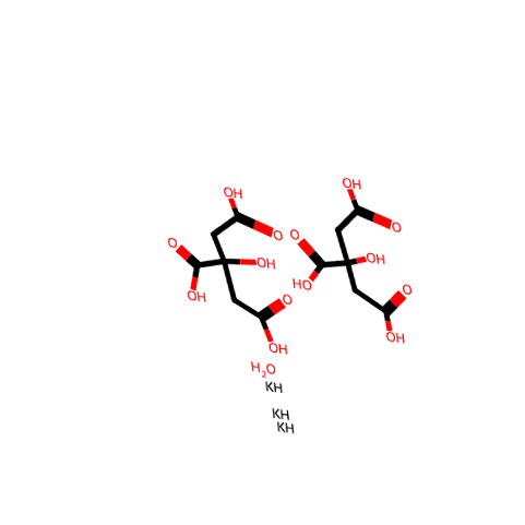 O.O=C(O)CC(O)(CC(=O)O)C(=O)O.O=C(O)CC(O)(CC(=O)O)C(=O)O.[KH].[KH].[KH]